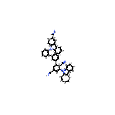 N#Cc1cc(-c2cccc(-c3ccccc3-n3c4ccccc4c4cc(C#N)ccc43)c2)c(C#N)c(-n2c3c(c4ccccc42)CC=CC=C3)c1